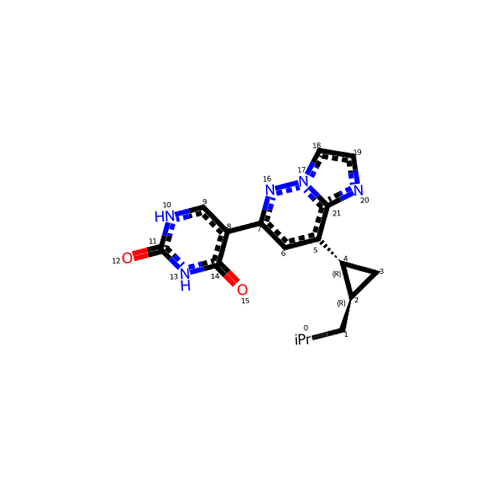 CC(C)C[C@@H]1C[C@H]1c1cc(-c2c[nH]c(=O)[nH]c2=O)nn2ccnc12